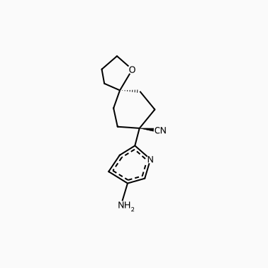 N#C[C@]1(c2ccc(N)cn2)CC[C@@]2(CCCO2)CC1